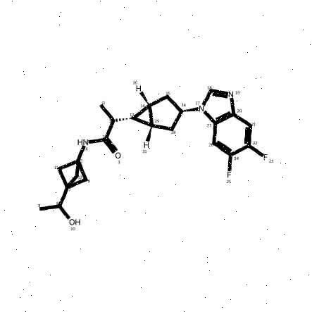 CC(C(=O)NC12CC(C(C)O)(C1)C2)[C@@H]1[C@@H]2C[C@@H](n3cnc4cc(F)c(F)cc43)C[C@@H]21